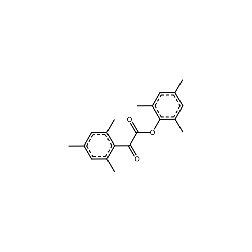 Cc1cc(C)c(OC(=O)C(=O)c2c(C)cc(C)cc2C)c(C)c1